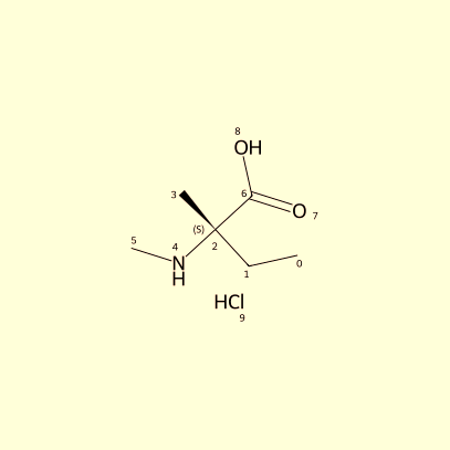 CC[C@](C)(NC)C(=O)O.Cl